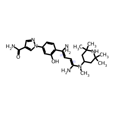 CN(/C(N)=C/C=C(\N)c1ccc(-n2cc(C(N)=O)cn2)cc1O)C1CC(C)(C)NC(C)(C)C1